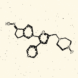 CCN1CCN(Cc2cc(-c3ccncc3)c(-c3ccc4c(c3)CC/C4=N\O)o2)CC1